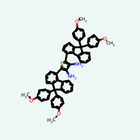 COc1ccc(C2(c3ccc(OC)cc3)c3ccccc3-c3c(-c4sc(-c5cccc6c5-c5ccccc5C6(c5ccc(OC)cc5)c5ccc(OC)cc5)c(N)c4N)cccc32)cc1